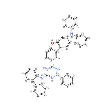 c1ccc(-c2nc(-c3ccc4oc5cc6c(cc5c4c3)c3ccccc3n6-c3ccccc3)nc(-n3c4ccccc4c4ccccc43)n2)cc1